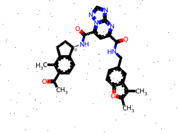 CC(=O)c1ccc2c(c1C)CC[C@@H]2NC(=O)c1cc(C(=O)NCc2ccc3oc(C)c(C)c3c2)nc2ncnn12